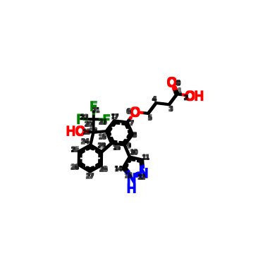 O=C(O)CCCOc1cc(-c2cn[nH]c2)c2c(c1)C(O)(C(F)(F)F)c1ccccc1-2